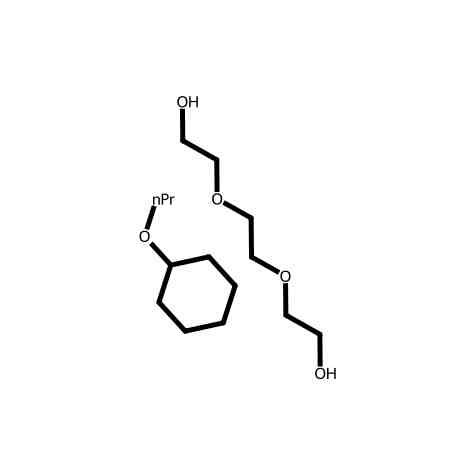 CCCOC1CCCCC1.OCCOCCOCCO